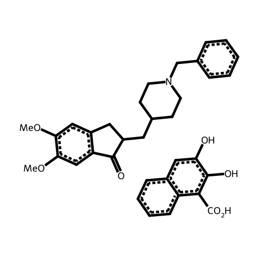 COc1cc2c(cc1OC)C(=O)C(CC1CCN(Cc3ccccc3)CC1)C2.O=C(O)c1c(O)c(O)cc2ccccc12